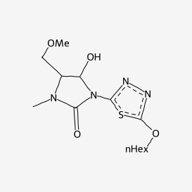 CCCCCCOc1nnc(N2C(=O)N(C)C(COC)C2O)s1